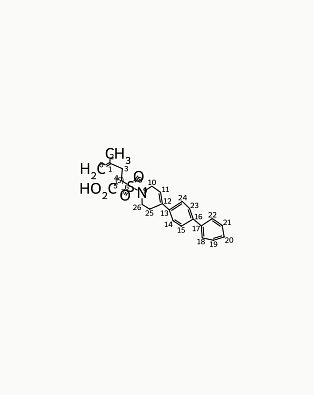 C=C(C)C[C@@H](C(=O)O)S(=O)(=O)N1CC=C(c2ccc(-c3ccccc3)cc2)CC1